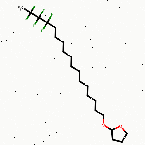 FC(F)(F)C(F)(F)C(F)(F)C(F)(F)CCCCCCCCCCCCCOC1CCCO1